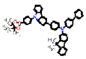 CC1(C)c2ccccc2-c2ccc(N(c3ccc(-c4ccccc4)cc3)c3ccc(-c4ccc5c(c4)c4ccccc4n5-c4ccc(B5OC(C)(C)C(C)(C)O5)cc4)cc3)cc21